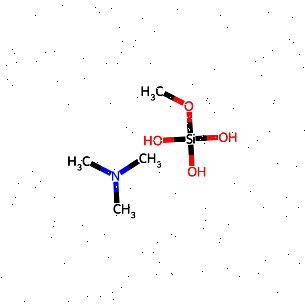 CN(C)C.CO[Si](O)(O)O